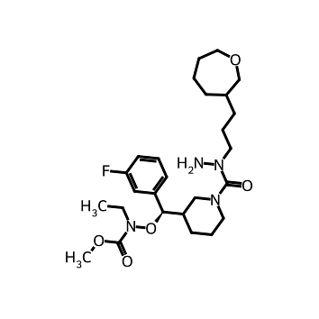 CCN(O[C@@H](c1cccc(F)c1)C1CCCN(C(=O)N(N)CCCC2CCCCOC2)C1)C(=O)OC